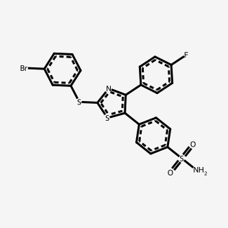 NS(=O)(=O)c1ccc(-c2sc(Sc3cccc(Br)c3)nc2-c2ccc(F)cc2)cc1